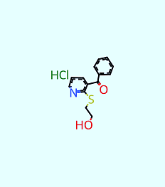 Cl.O=C(c1ccccc1)c1cccnc1SCCO